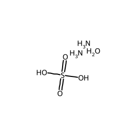 N.N.O.O=S(=O)(O)O